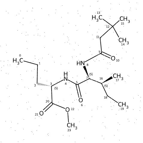 CCC[C@H](NC(=O)[C@@H](NC(=O)CC(C)(C)C)[C@@H](C)CC)C(=O)OC